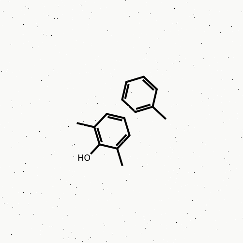 Cc1cccc(C)c1O.Cc1ccccc1